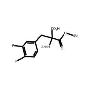 CCC(C)OC(=O)C(Cc1ccc(F)c(F)c1)(NC(C)=O)C(=O)O